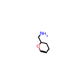 NCC1CCC=CO1